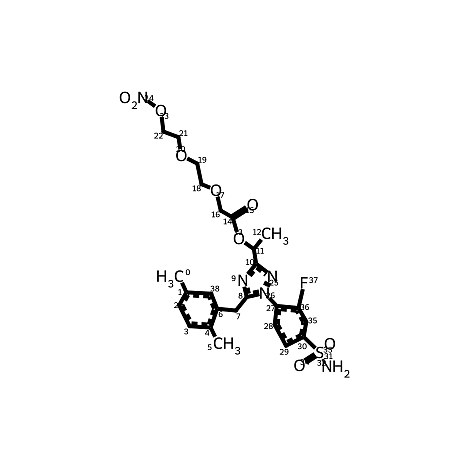 Cc1ccc(C)c(Cc2nc(C(C)OC(=O)COCCOCCO[N+](=O)[O-])nn2-c2ccc(S(N)(=O)=O)cc2F)c1